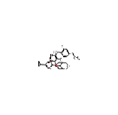 CCc1ccc(Nc2ncnc(OC3C4COCC3CN(c3ncc(C5CC5)cn3)C4)c2F)c(F)c1